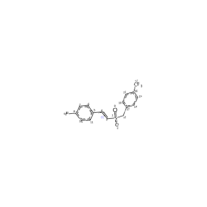 O=S(=O)(/C=C/c1ccc(F)cc1)Cc1ccc(C(F)(F)F)cc1